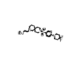 CC(C)(C)CCN1CCCC2(CCN(S(=O)(=O)c3ccc(N4CCC(F)(F)CC4)nc3)CC2)C1